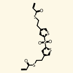 C=CC(=O)SCCc1csc(S(=O)(=O)c2cc(CCSC(=O)C=C)cs2)c1